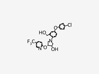 OCc1cc(Oc2ccc(Cl)cc2)ccc1N1CC(O)[C@H](Oc2ccc(C(F)(F)F)cn2)C1